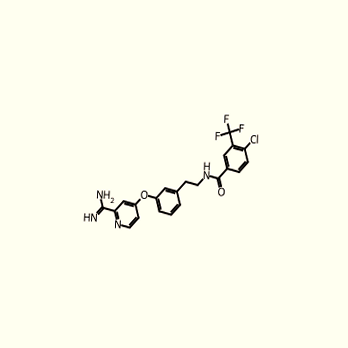 N=C(N)c1cc(Oc2cccc(CCNC(=O)c3ccc(Cl)c(C(F)(F)F)c3)c2)ccn1